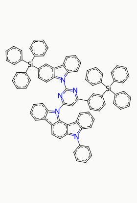 c1ccc(-n2c3ccccc3c3c2ccc2c4ccccc4n(-c4cc(-c5cccc([Si](c6ccccc6)(c6ccccc6)c6ccccc6)c5)nc(-n5c6ccccc6c6cc([Si](c7ccccc7)(c7ccccc7)c7ccccc7)ccc65)n4)c23)cc1